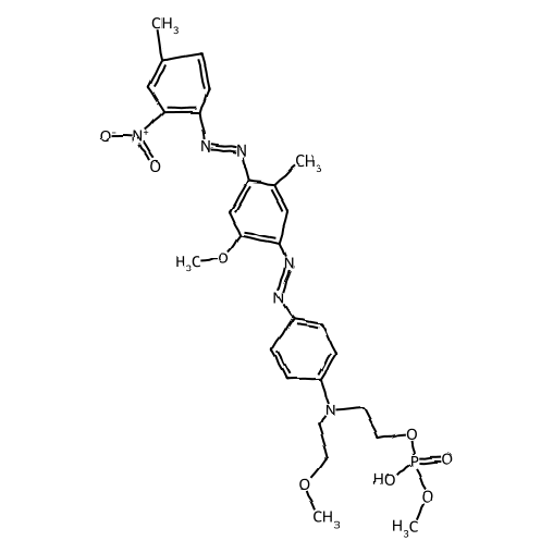 COCCN(CCOP(=O)(O)OC)c1ccc(N=Nc2cc(C)c(N=Nc3ccc(C)cc3[N+](=O)[O-])cc2OC)cc1